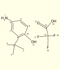 CC(C)(C)c1cc(N)ccc1O.O=C(O)C(F)(F)F